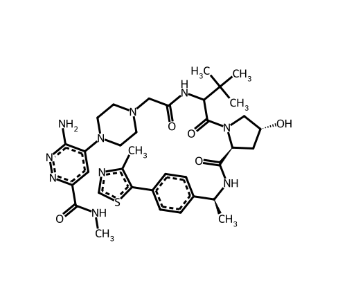 CNC(=O)c1cc(N2CCN(CC(=O)NC(C(=O)N3C[C@H](O)C[C@H]3C(=O)N[C@@H](C)c3ccc(-c4scnc4C)cc3)C(C)(C)C)CC2)c(N)nn1